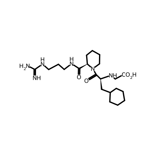 N=C(N)NCCCNC(=O)[C@H]1CCCCN1C(=O)[C@H](CC1CCCCC1)NCC(=O)O